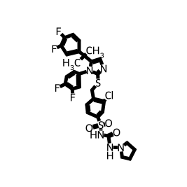 CC(C)(c1ccc(F)c(F)c1)c1cnc(SCc2ccc(S(=O)(=O)NC(=O)NN3CCCC3)cc2Cl)n1-c1ccc(F)c(F)c1